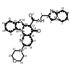 O=C(NCc1cn2ccccc2n1)c1c(=O)c2ccc(N3CCOCC3)nc2n2c1sc1ccccc12